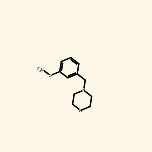 FC(F)(F)Oc1cccc(CN2CC[N]CC2)c1